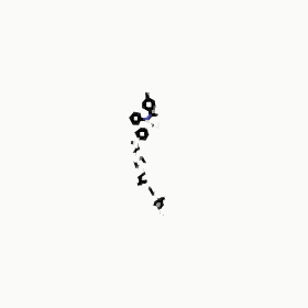 CCC(C)(CCN)OCCOC(C)(C)CCN1CCN(CC(=O)N(C)c2ccc(N(N)/C(=C3\C(=O)Nc4cc(C(=O)OC)ccc43)c3ccccc3)cc2)CC1